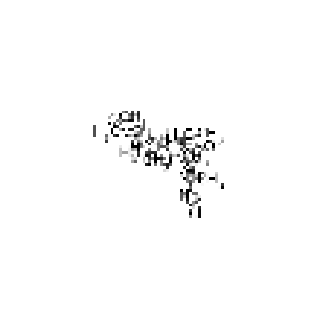 CC(C)C1=C2[C@H]3CC[C@@H]4[C@@]5(C)CC[C@H](OC(=O)CC(C)(C)C(=O)O)C(C)(C)[C@@H]5CC[C@@]4(C)[C@]3(C)CC[C@@]2(Cc2nnc(-c3ccc(Cl)cn3)n2C)CC1=O